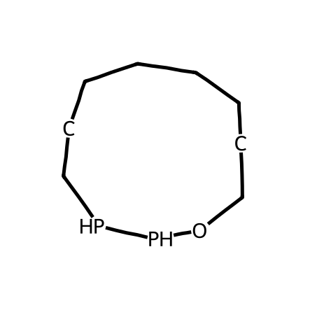 C1CCCCPPOCCC1